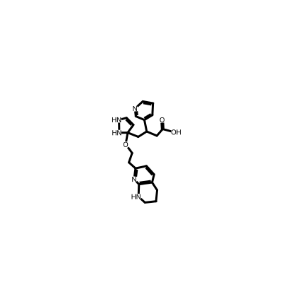 O=C(O)CC(CC1(OCCc2ccc3c(n2)NCCC3)C=CNN1)c1cccnc1